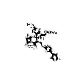 CON=CC(=O)NC1(c2csc(N)n2)S[C@H]2CC(=O)N2C(C(=O)O)=C1CSc1nnc(-c2ccsc2)o1